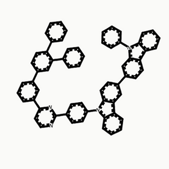 c1ccc(-c2ccc(-c3cccc(-c4ccnc(-c5ccc(-n6c7ccccc7c7cc(-c8ccc9c%10ccccc%10n(-c%10ccccc%10)c9c8)ccc76)cc5)n4)c3)cc2-c2ccccc2)cc1